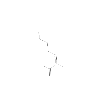 CC(=CCCCS)C(=O)O